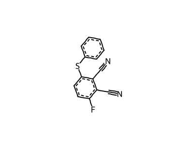 N#Cc1c(F)ccc(Sc2ccccc2)c1C#N